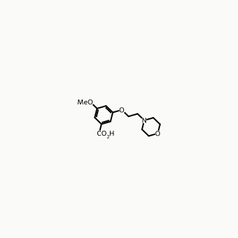 COc1cc(OCCN2CCOCC2)cc(C(=O)O)c1